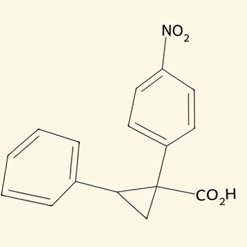 O=C(O)C1(c2ccc([N+](=O)[O-])cc2)CC1c1ccccc1